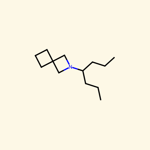 CCCC(CCC)N1CC2(CCC2)C1